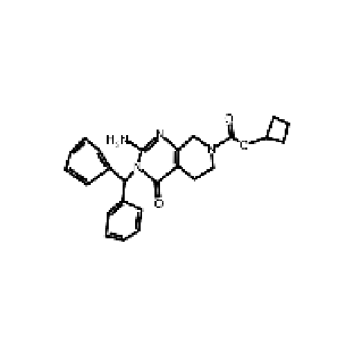 Nc1nc2c(c(=O)n1C(c1ccccc1)c1ccccc1)CCN(C(=O)OC1CCC1)C2